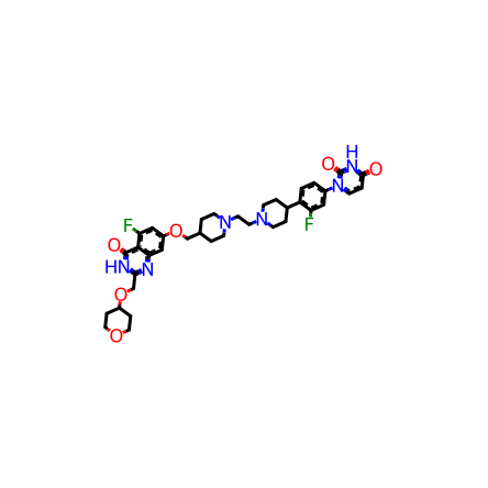 O=c1ccn(-c2ccc(C3CCN(CCN4CCC(COc5cc(F)c6c(=O)[nH]c(COC7CCOCC7)nc6c5)CC4)CC3)c(F)c2)c(=O)[nH]1